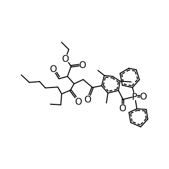 CCCCCC(CC)C(=O)C(CC(=O)c1c(C)cc(C)c(C(=O)P(=O)(c2ccccc2)c2ccccc2)c1C)C(C=O)C(=O)OCC